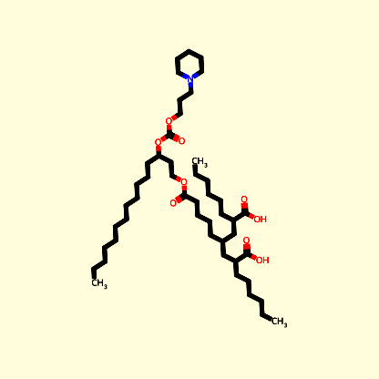 CCCCCCCCCCCCC(CCOC(=O)CCCCC(CC(CCCCCC)C(=O)O)CC(CCCCCC)C(=O)O)OC(=O)OCCCN1CCCCC1